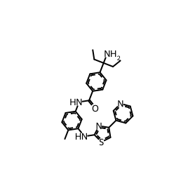 CCC(N)(CC)c1ccc(C(=O)Nc2ccc(C)c(Nc3nc(-c4cccnc4)cs3)c2)cc1